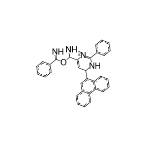 N=C(OC(N)C1=CC(c2cc3ccccc3c3ccccc23)NC(c2ccccc2)=N1)c1ccccc1